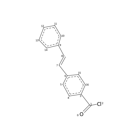 O=C(Cl)c1ccc(C=Cc2ccccc2)cc1